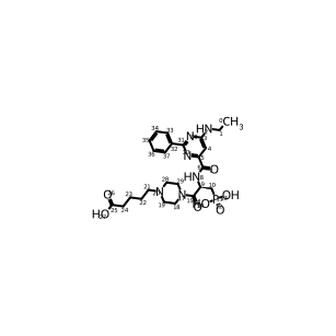 CCNc1cc(C(=O)N[C@@H](CP(=O)(O)O)C(=O)N2CCN(CCCCC(=O)O)CC2)nc(-c2ccccc2)n1